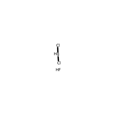 F.[Cl][Hg][Cl]